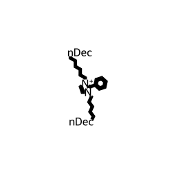 CCCCCCCCCCCCCCCC[n+]1ccn(CCCCCCCCCCCCCCC)c1-c1ccccc1